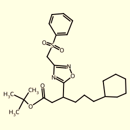 CC(C)(C)OC(=O)CC(CCCC1CCCCC1)c1nc(CS(=O)(=O)c2ccccc2)no1